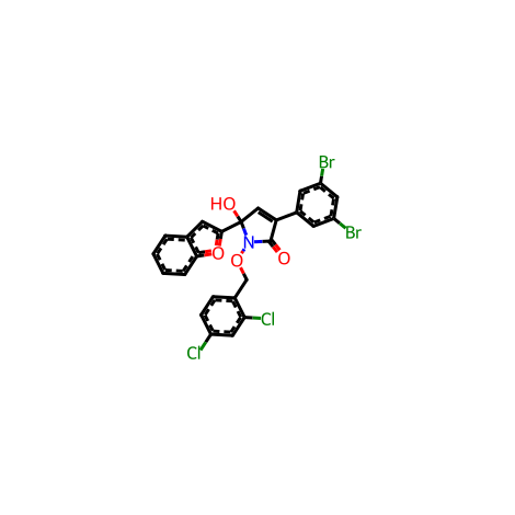 O=C1C(c2cc(Br)cc(Br)c2)=CC(O)(c2cc3ccccc3o2)N1OCc1ccc(Cl)cc1Cl